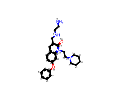 NCCNCc1cc2ccc(Oc3ccccc3)cc2n(CCN2CCCCC2)c1=O